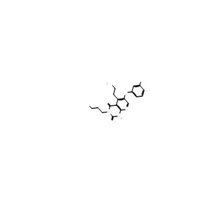 CC(C)CCc1c(Oc2cccc(C(F)(F)F)c2)cnc2c1c(=O)n(CCCO)c(=O)n2C